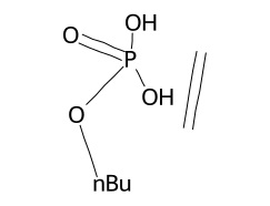 C=C.CCCCOP(=O)(O)O